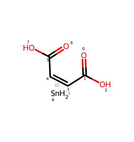 O=C(O)/C=C\C(=O)O.[SnH2]